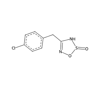 O=S1NC(Cc2ccc(Cl)cc2)=NO1